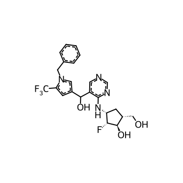 OC[C@H]1C[C@@H](Nc2ncncc2C(O)c2cc(C(F)(F)F)n(Cc3ccccc3)c2)[C@@H](F)[C@@H]1O